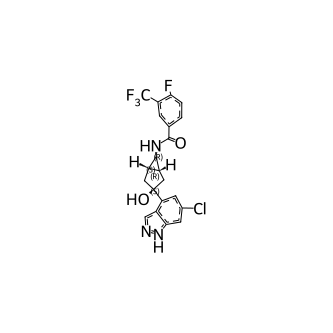 O=C(N[C@H]1[C@@H]2C[C@](O)(c3cc(Cl)cc4[nH]ncc34)C[C@@H]21)c1ccc(F)c(C(F)(F)F)c1